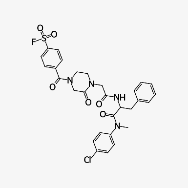 CN(C(=O)C(Cc1ccccc1)NC(=O)CN1CCN(C(=O)c2ccc(S(=O)(=O)F)cc2)CC1=O)c1ccc(Cl)cc1